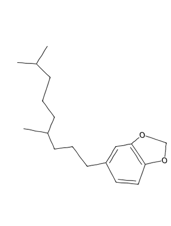 CC(C)CCCC(C)CCCc1ccc2c(c1)OCO2